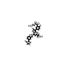 CCN(CCO)C(=O)c1cc(-c2c(C)nn3c(NCc4cccc(-c5nccn5C)c4)cc(C(C)(C)O)nc23)ccc1C